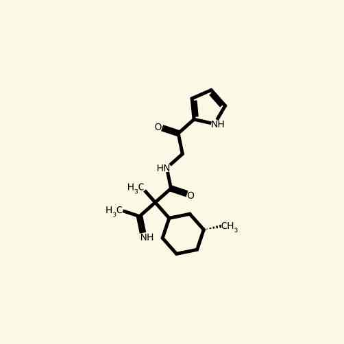 CC(=N)C(C)(C(=O)NCC(=O)c1ccc[nH]1)C1CCC[C@@H](C)C1